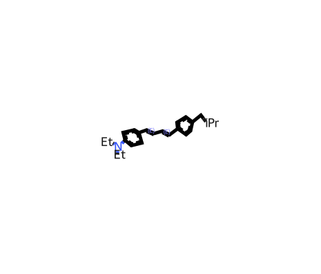 CCN(CC)c1ccc(/C=C/C=C/c2ccc(CC(C)C)cc2)cc1